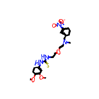 COc1ccc(NC(=S)NCCOCCN(C)Cc2cccc([N+](=O)[O-])c2)cc1OC